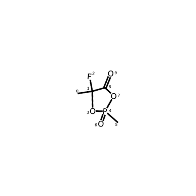 CC1(F)OP(C)(=O)OC1=O